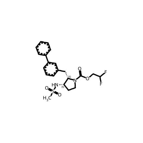 CS(=O)(=O)N[C@H]1CCN(C(=O)OCC(F)F)[C@H]1Cc1cccc(-c2ccccc2)c1